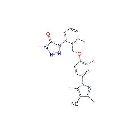 Cc1cc(-n2nc(C)c(C#N)c2C)ccc1OCc1c(C)cccc1-n1nnn(C)c1=O